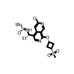 CC[C@H](N[S@@+]([O-])C(C)(C)C)c1cnc(O[C@H]2C[C@@H](S(C)(=O)=O)C2)c2cnc(Cl)cc12